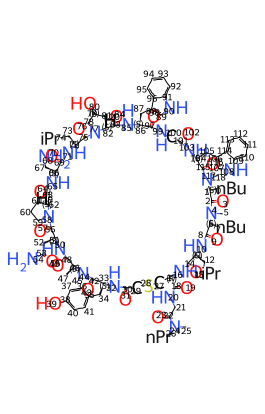 CCCC[C@H]1C(=O)N(C)[C@@H](CCCC)C(=O)N[C@@H](CC(C)C)C(=O)N[C@H](C(=O)NCC(=O)N(C)CCC)CSCC(=O)N[C@@H](Cc2ccc(O)cc2)C(=O)N(C)[C@@H](C)C(=O)N[C@@H](CC(N)=O)C(=O)N2CCC[C@H]2C(=O)N[C@@H](CN)C(=O)N[C@@H](CC(C)C)C(=O)N2C[C@H](O)C[C@H]2C(=O)N[C@@H](Cc2c[nH]c3ccccc23)C(=O)NCC(=O)N[C@@H](Cc2c[nH]c3ccccc23)C(=O)N1C